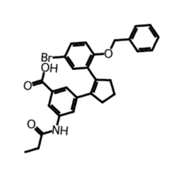 CCC(=O)Nc1cc(C(=O)O)cc(C2=C(c3cc(Br)ccc3OCc3ccccc3)CCC2)c1